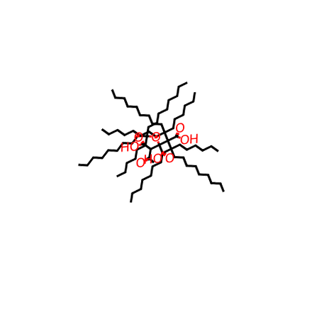 CCCCCCCCCC(CCCCCC)(CCCCCCCC)OC(C(=O)O)(C(C(C)=O)C(=O)O)C(C(=O)O)(C(CCCCCC)(CCCCCCCC)CCCCCCCCC)C(CCCCCC)(CCCCCCCC)CCCCCCCCC